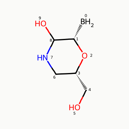 B[C@@H]1O[C@H](CO)CNC1O